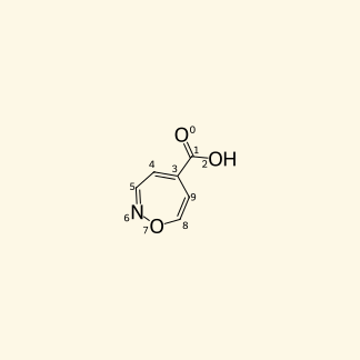 O=C(O)C1=CC=NOC=C1